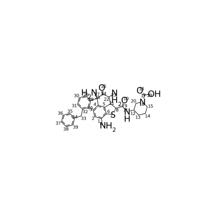 Nc1ccc2c3c1SC(C(=O)NC1CCCN(C(=O)O)C1)C3C(N)C(=O)C2(N)c1cccc(Cc2ccccc2)c1